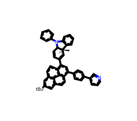 CC(C)(C)c1cc2ccc3c(C4=C[C@@]5(C)c6ccccc6N(c6ccccc6)C5C=C4)cc(-c4ccc(-c5cccnc5)cc4)c4ccc(c1)c2c34